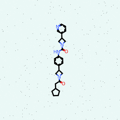 O=C(CC1CCCC1)N1CC(c2ccc(NC(=O)N3CC(c4cccnc4)C3)cc2)C1